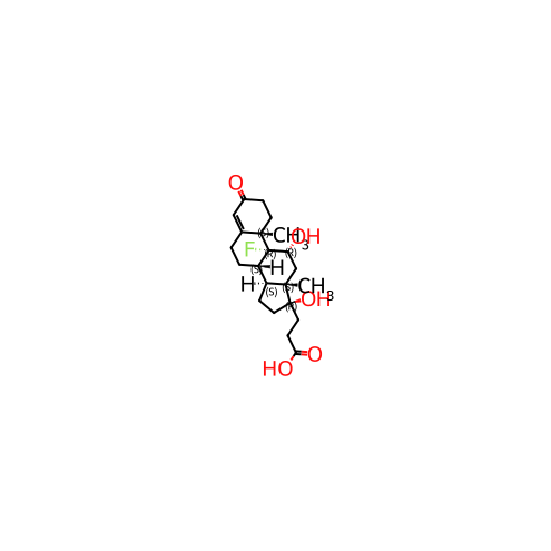 C[C@]12CCC(=O)C=C1CC[C@H]1[C@@H]3CC[C@@](O)(CCC(=O)O)[C@@]3(C)C[C@@H](O)[C@@]12F